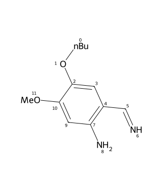 CCCCOc1cc(C=N)c(N)cc1OC